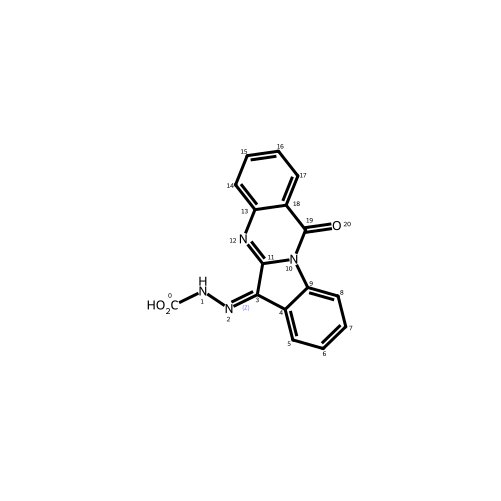 O=C(O)N/N=C1/c2ccccc2-n2c1nc1ccccc1c2=O